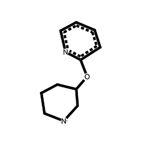 c1ccc(OC2CCC[N]C2)nc1